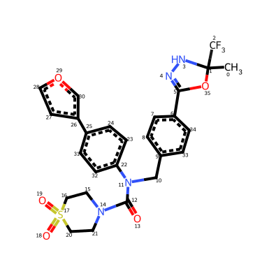 CC1(C(F)(F)F)NN=C(c2ccc(CN(C(=O)N3CCS(=O)(=O)CC3)c3ccc(-c4ccoc4)cc3)cc2)O1